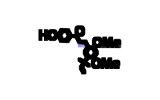 C=CC(C)(C)c1cc(/C=C/C(=O)c2ccc(O)cc2)c(OC)cc1OC